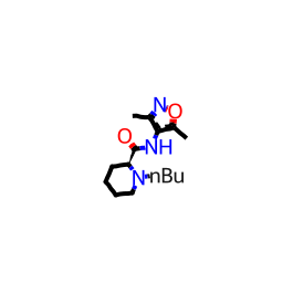 CCCCN1CCCC[C@H]1C(=O)Nc1c(C)noc1C